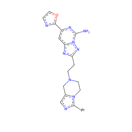 CC(C)c1ncc2n1CCN(CCc1nc3cc(-c4ncco4)nc(N)n3n1)C2